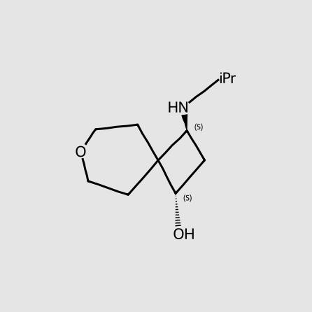 CC(C)N[C@H]1C[C@H](O)C12CCOCC2